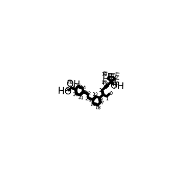 CCC(=CC#CC(O)(C(F)(F)F)C(F)(F)F)c1cccc(CCc2ccc(C(O)O)cc2)c1